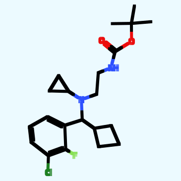 CC(C)(C)OC(=O)NCCN(C1CC1)C(c1cccc(Cl)c1F)C1CCC1